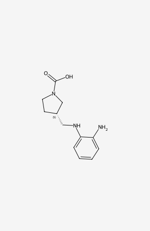 Nc1ccccc1NC[C@@H]1CCN(C(=O)O)C1